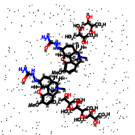 COC1=C2O[C@H]3C(=NNC(N)=O)C=C[C@H]4[C@H]5CC(C=C1)C2[C@@]34CCN5C.COC1=C2O[C@H]3C(=NNC(N)=O)C=C[C@H]4[C@H]5CC(C=C1)C2[C@@]34CCN5C.O=C(O)C(O)C(O)C(=O)O.O=C(O)C(O)C(O)C(=O)O.O=C(O)C(O)C(O)C(=O)O.O=C(O)C(O)C(O)C(=O)O.O=C(O)C(O)C(O)C(=O)O